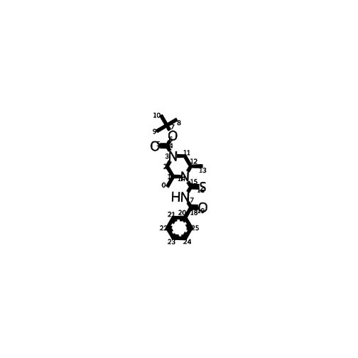 CC1CN(C(=O)OC(C)(C)C)CC(C)N1C(=S)NC(=O)c1ccccc1